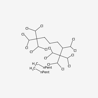 CCCCCC.CCCCCC.ClC(Cl)C(CCCC(C(Cl)Cl)(C(Cl)Cl)C(Cl)Cl)C(C(Cl)Cl)(C(Cl)Cl)C(Cl)Cl